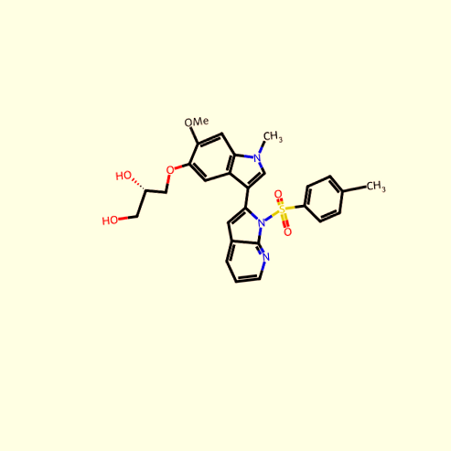 COc1cc2c(cc1OC[C@@H](O)CO)c(-c1cc3cccnc3n1S(=O)(=O)c1ccc(C)cc1)cn2C